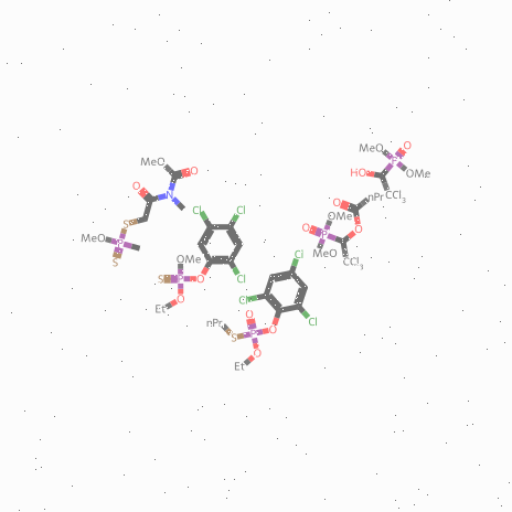 CCCC(=O)OC(C(Cl)(Cl)Cl)P(=O)(OC)OC.CCCSP(=O)(OCC)Oc1c(Cl)cc(Cl)cc1Cl.CCOP(=S)(OC)Oc1cc(Cl)c(Cl)cc1Cl.COC(=O)N(C)C(=O)CSP(C)(=S)OC.COP(=O)(OC)C(O)C(Cl)(Cl)Cl